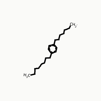 [CH2]CCCCCCc1ccc(CCCCCCCC)cc1